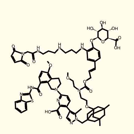 COCCN(CCOC12CC3(C)CC(C)(CC(Cn4ncc(-c5ccc(N6CCc7c(OC)ccc(C(=O)Nc8nc9ccccc9s8)c7C6)nc5C(=O)O)c4C)(C3)C1)C2)C(=O)OC/C=C/c1ccc(O[C@@H]2O[C@H](C(=O)O)[C@@H](O)[C@H](O)[C@H]2O)c(NCCCNCCCNC(=O)CN2C(=O)C=CC2=O)c1